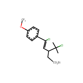 CCOC(=O)CC(C=C(Cl)c1ccc(OC(F)(F)F)cc1)C(C)(C)Cl